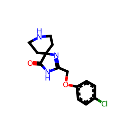 O=C1NC(COc2ccc(Cl)cc2)=NC12CCNCC2